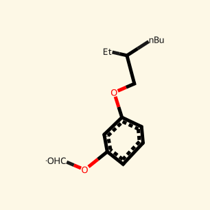 CCCCC(CC)COc1cccc(O[C]=O)c1